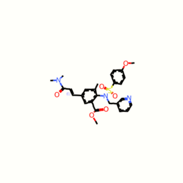 COC(=O)c1cc(/C=C/C(=O)N(C)C)cc(C)c1N(Cc1cccnc1)S(=O)(=O)c1ccc(OC)cc1